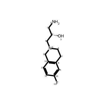 NC[C@H](O)CN1CCc2cc(F)ccc2C1